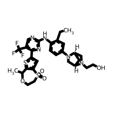 CCc1cc(N2C[C@H]3C[C@@H]2CN3CCO)ccc1Nc1ncc(C(F)(F)F)c(-c2cc3c(s2)C(C)OCCS3(=O)=O)n1